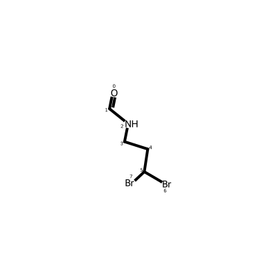 O=CNCCC(Br)Br